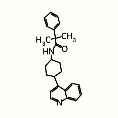 CC(C)(C(=O)NC1CCC(c2ccnc3ccccc23)CC1)c1ccccc1